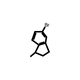 CC1CCc2cc(Br)ccc21